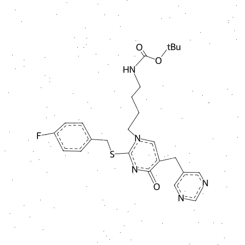 CC(C)(C)OC(=O)NCCCCn1cc(Cc2cncnc2)c(=O)nc1SCc1ccc(F)cc1